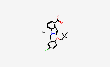 CC(C)(C)COc1ccc(Cl)cc1Cn1ccc2c(C(=O)[O-])cccc21.[Na+]